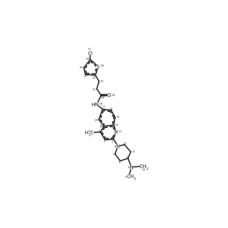 Cc1cc(N2CCC(N(C)C)CC2)nc2ccc(NC(=O)CCc3ccc(Cl)s3)cc12